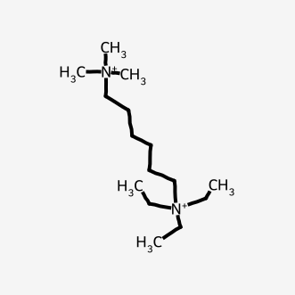 CC[N+](CC)(CC)CCCCCC[N+](C)(C)C